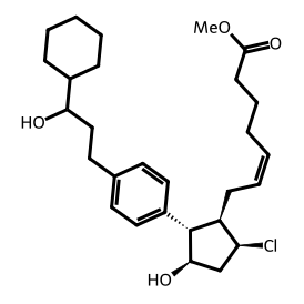 COC(=O)CCC/C=C\C[C@@H]1[C@@H](c2ccc(CCC(O)C3CCCCC3)cc2)[C@H](O)C[C@@H]1Cl